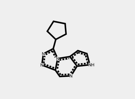 c1cc2c(ncc3nnc(C4CCCC4)n32)[nH]1